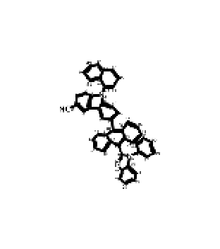 N#Cc1ccc2c(c1)c1cc(-c3c4ccccc4c(-c4nc5ccccc5n4-c4ccccc4)c4ccccc34)ccc1n2-c1cccc2ccccc12